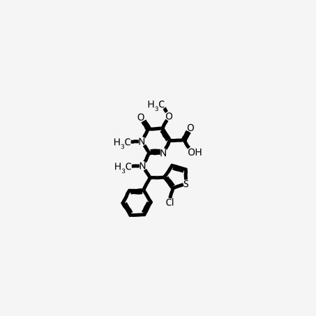 COc1c(C(=O)O)nc(N(C)C(c2ccccc2)c2ccsc2Cl)n(C)c1=O